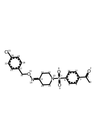 CC(=O)c1ccc(S(=O)(=O)N2CCC(=NOCc3ccc(Cl)cc3)CC2)cc1